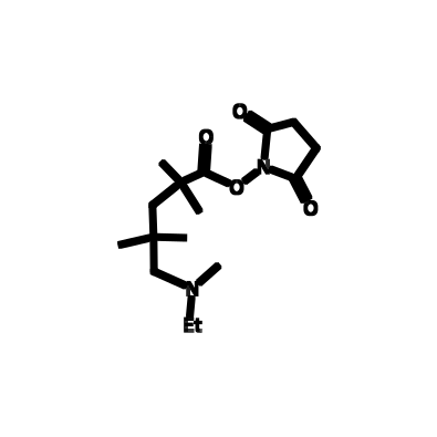 CCN(C)CC(C)(C)CC(C)(C)C(=O)ON1C(=O)CCC1=O